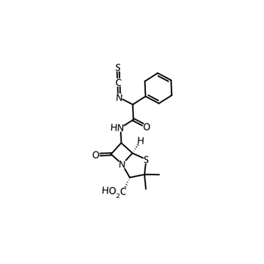 CC1(C)S[C@@H]2C(NC(=O)C(N=C=S)C3=CCC=CC3)C(=O)N2[C@H]1C(=O)O